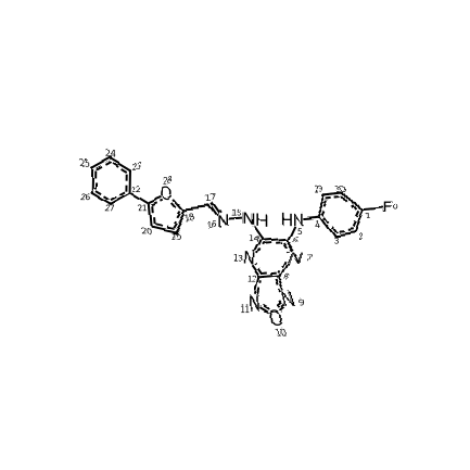 Fc1ccc(Nc2nc3nonc3nc2NN=Cc2ccc(-c3ccccc3)o2)cc1